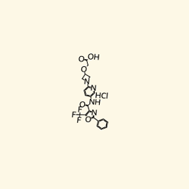 Cl.O=C(O)COC1CN(c2ccc(NC(=O)c3nc(-c4ccccc4)oc3C(F)(F)F)cn2)C1